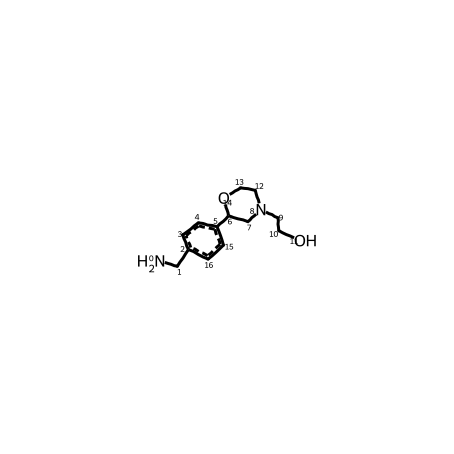 NCc1ccc(C2CN(CCO)CCO2)cc1